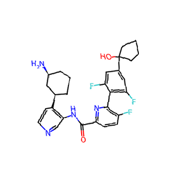 N[C@H]1CCC[C@@H](c2ccncc2NC(=O)c2ccc(F)c(-c3c(F)cc(C4(O)CCCC4)cc3F)n2)C1